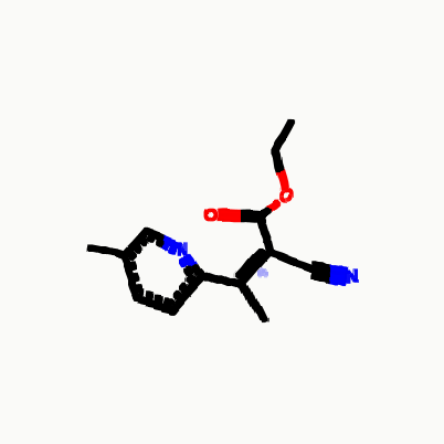 CCOC(=O)/C(C#N)=C(/C)c1ccc(C)cn1